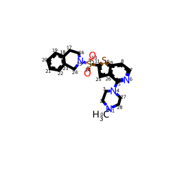 CN1CCN(c2nccc3sc(S(=O)(=O)N4CCc5ccccc5C4)cc23)CC1